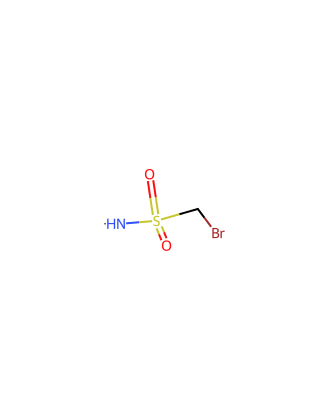 [NH]S(=O)(=O)CBr